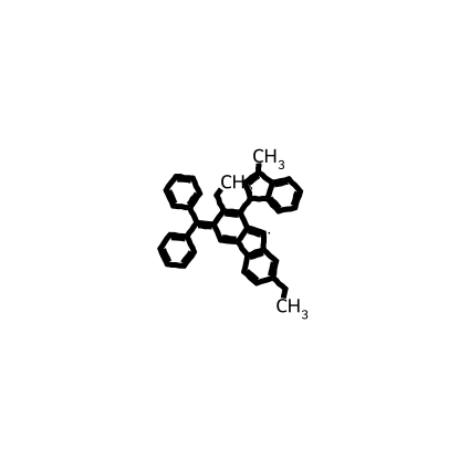 CCc1ccc2c(c1)[C]=c1c-2cc(=C(c2ccccc2)c2ccccc2)c(CC)c1C1C=C(C)c2ccccc21